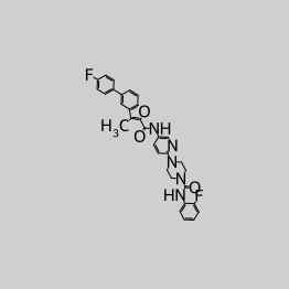 Cc1c(C(=O)Nc2ccc(N3CCN(C(=O)Nc4ccccc4F)CC3)nc2)oc2ccc(-c3ccc(F)cc3)cc12